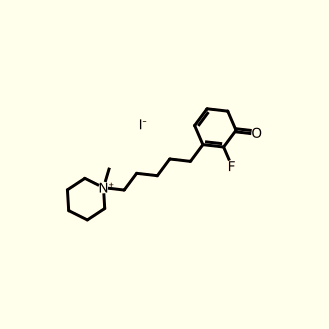 C[N+]1(CCCCCC2=C(F)C(=O)CC=C2)CCCCC1.[I-]